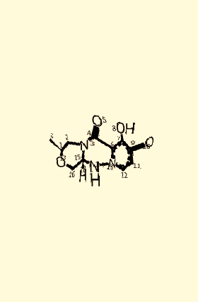 C[C@H]1CN2C(=O)c3c(O)c(=O)ccn3N[C@@H]2CO1